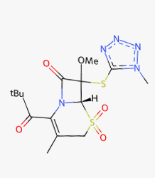 COC1(Sc2nnnn2C)C(=O)N2C(C(=O)C(C)(C)C)=C(C)CS(=O)(=O)[C@H]21